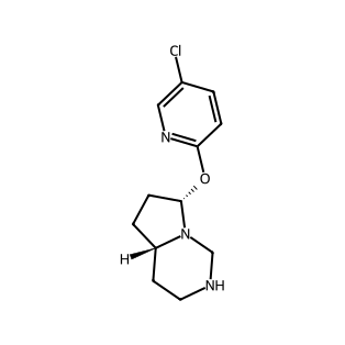 Clc1ccc(O[C@H]2CC[C@H]3CCNCN32)nc1